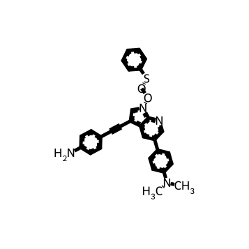 CN(C)c1ccc(-c2cnc3c(c2)c(C#Cc2ccc(N)cc2)cn3OOSc2ccccc2)cc1